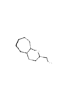 CC(C)CC1CCC2CCCCCC2N1